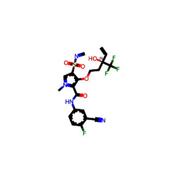 C=C[C@@](O)(CCOc1c(S(=O)(=O)N=C)cn(C)c1C(=O)Nc1ccc(F)c(C#N)c1)C(F)(F)F